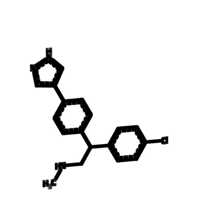 CNCC(c1ccc(Cl)cc1)c1ccc(-c2cn[nH]c2)cc1